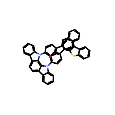 c1ccc2cc(-c3ccc(-n4c5ccccc5c5ccc6c7ccccc7n(-c7ccc(-c8cccc9c8sc8ccccc89)cc7)c6c54)cc3)ccc2c1